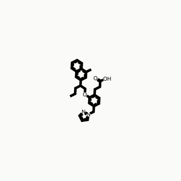 CCCC(COc1cc(Cn2cccn2)ccc1CCC(=O)O)c1cc(C)c2ccccc2c1